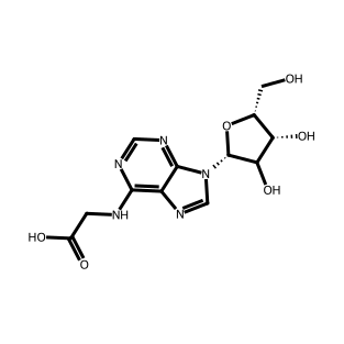 O=C(O)CNc1ncnc2c1ncn2[C@@H]1O[C@H](CO)[C@H](O)C1O